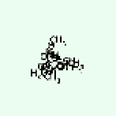 CCOC=NNC(=O)[C@H]1C[C@@](CC(C)C)(C(=O)O)N(C(=O)c2ccc(C(C)(C)C)cc2)[C@H]1c1nccs1